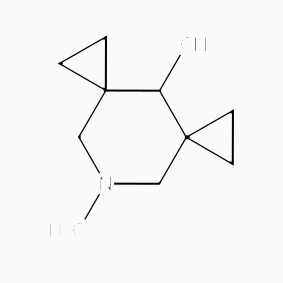 CC1C2(CC2)CN(C)CC12CC2